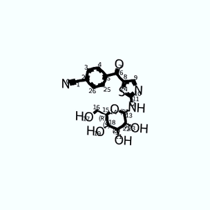 N#Cc1ccc(C(=O)c2cnc(N[C@@H]3O[C@H](CO)[C@@H](O)[C@H](O)[C@@H]3O)s2)cc1